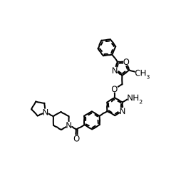 Cc1oc(-c2ccccc2)nc1COc1cc(-c2ccc(C(=O)N3CCC(N4CCCC4)CC3)cc2)cnc1N